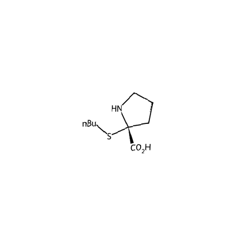 CCCCS[C@@]1(C(=O)O)CCCN1